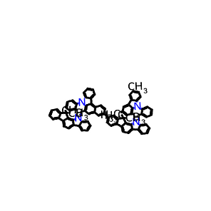 Cc1ccc2c(c1)c1cc(C)cc3c1n2-c1ccccc1B3n1c2ccccc2c2ccc3c(c21)C(C)(C)c1cc(-c2ccc4c(c2)cc2c5c4c4ccccc4n5-c4ccccc4B2n2c4ccccc4c4ccc5c(c42)C(C)(C)c2ccccc2-5)ccc1-3